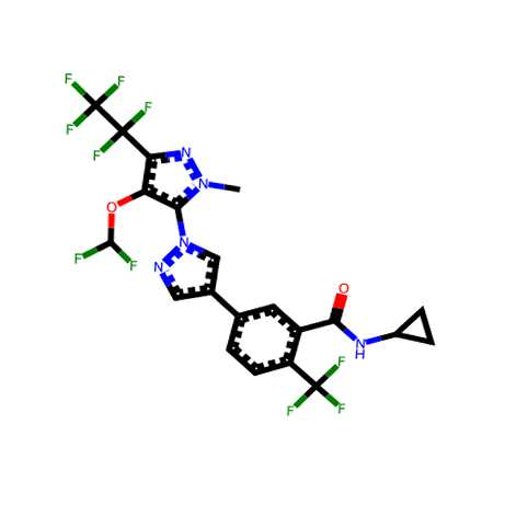 Cn1nc(C(F)(F)C(F)(F)F)c(OC(F)F)c1-n1cc(-c2ccc(C(F)(F)F)c(C(=O)NC3CC3)c2)cn1